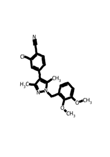 COc1cccc(Cn2nc(C)c(-c3ccc(C#N)c(Cl)c3)c2C)c1OC